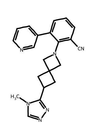 Cn1cnnc1C1CC2(C1)CN(c1c(C#N)cccc1-c1cccnc1)C2